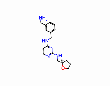 NCc1cccc(CNc2ccnc(NC[C@H]3CCCO3)n2)c1